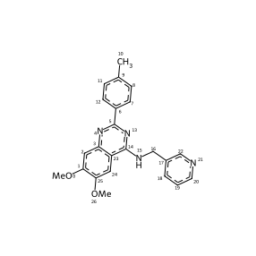 COc1cc2nc(-c3ccc(C)cc3)nc(NCc3cccnc3)c2cc1OC